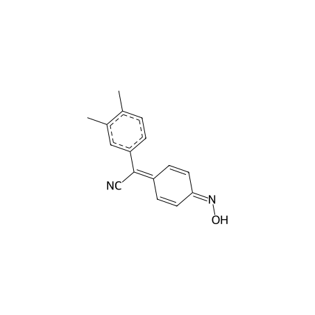 Cc1ccc(C(C#N)=C2C=CC(=NO)C=C2)cc1C